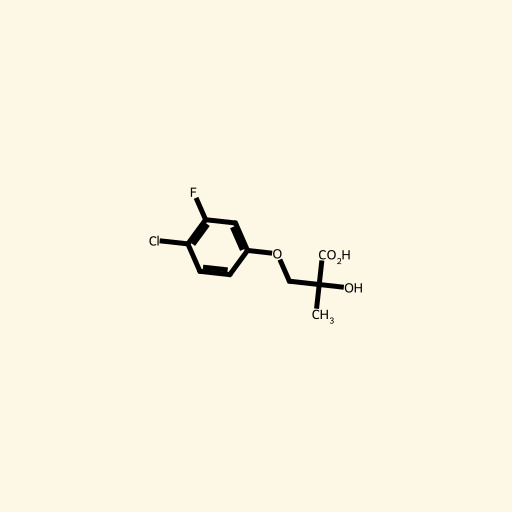 CC(O)(COc1ccc(Cl)c(F)c1)C(=O)O